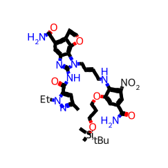 CCn1nc(C)cc1C(=O)Nc1nc2cc(C(N)=O)c3ccoc3c2n1CC=CCNc1c(OCCCO[Si](C)(C)C(C)(C)C)cc(C(N)=O)cc1[N+](=O)[O-]